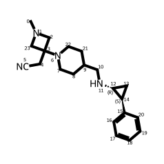 CN1CC(CC#N)(N2CCC(CN[C@@H]3C[C@H]3c3ccccc3)CC2)C1